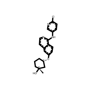 C[C@@]1(O)CCC[C@H](Oc2ccc3c(Nc4ccc(Cl)nc4)nccc3c2)C1